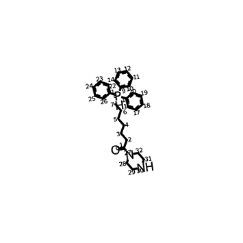 O=C(CCCCCC[PH](c1ccccc1)(c1ccccc1)c1ccccc1)N1CCNCC1